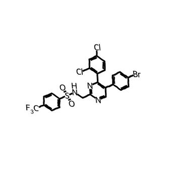 O=S(=O)(NCc1ncc(-c2ccc(Br)cc2)c(-c2ccc(Cl)cc2Cl)n1)c1ccc(C(F)(F)F)cc1